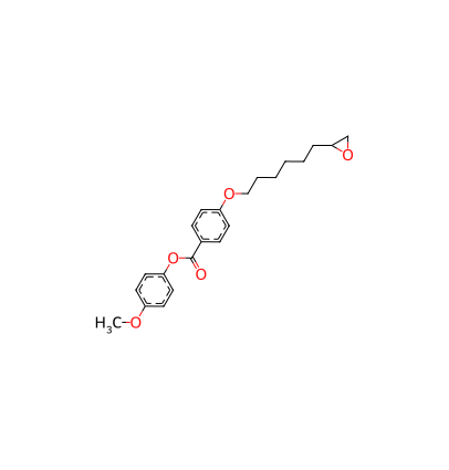 COc1ccc(OC(=O)c2ccc(OCCCCCCC3CO3)cc2)cc1